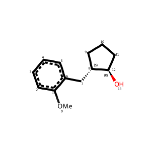 COc1ccccc1C[C@@H]1CCC[C@H]1O